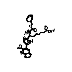 COc1nc2ccccc2cc1-c1cnc([C@H](CCCCCC(=O)O)NC(=O)OCc2ccccc2)[nH]1